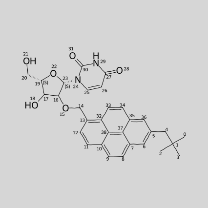 CC(C)(C)Cc1cc2ccc3ccc(COC4C(O)[C@H](CO)O[C@@H]4n4ccc(=O)[nH]c4=O)c4ccc(c1)c2c34